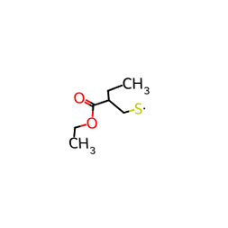 CCOC(=O)C(CC)C[S]